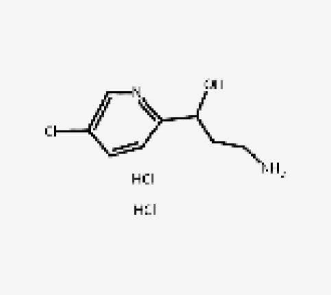 Cl.Cl.NCCC(O)c1ccc(Cl)cn1